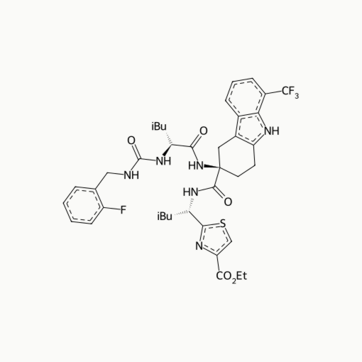 CCOC(=O)c1csc([C@@H](NC(=O)[C@@]2(NC(=O)[C@@H](NC(=O)NCc3ccccc3F)[C@@H](C)CC)CCc3[nH]c4c(C(F)(F)F)cccc4c3C2)[C@@H](C)CC)n1